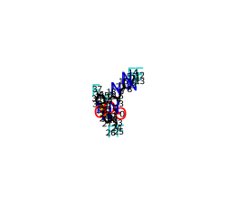 O=C(NCc1cc(-c2cnc(C(F)(F)F)nc2)ncc1F)[C@@H]1[C@@H](CC(F)F)CCN1S(=O)(=O)c1ccc(F)cc1